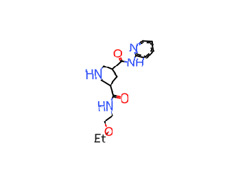 CCOCCNC(=O)C1CNCC(C(=O)Nc2ccccn2)C1